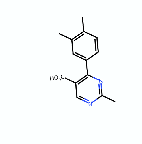 Cc1ncc(C(=O)O)c(-c2ccc(C)c(C)c2)n1